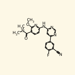 COc1nc(Nc2cc(-c3ccc(F)c(C#N)c3)ncn2)ccc1C(=O)N(C)C